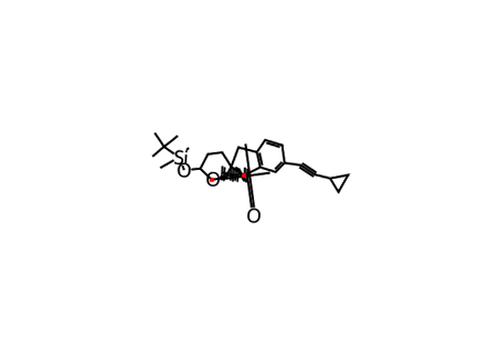 CC(C)(C)[Si](C)(C)OC1CCC2(CC1)Cc1ccc(C#CC3CC3)cc1C21NC(=O)NC1=O